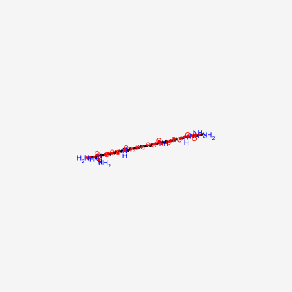 NCCCC[C@H](NC(=O)CN)C(=O)NCCCOCCOCCOCCCNC(=O)CCOCCOCCOCCOCCOCCC(=O)NCCCOCCOCCOCCCNC(=O)CNC(=O)[C@@H](N)CCCCN